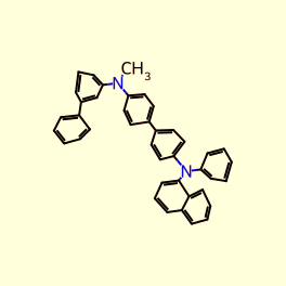 CN(c1ccc(-c2ccc(N(c3ccccc3)c3cccc4ccccc34)cc2)cc1)c1cccc(-c2ccccc2)c1